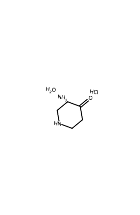 Cl.N.O.O=C1CCNCC1